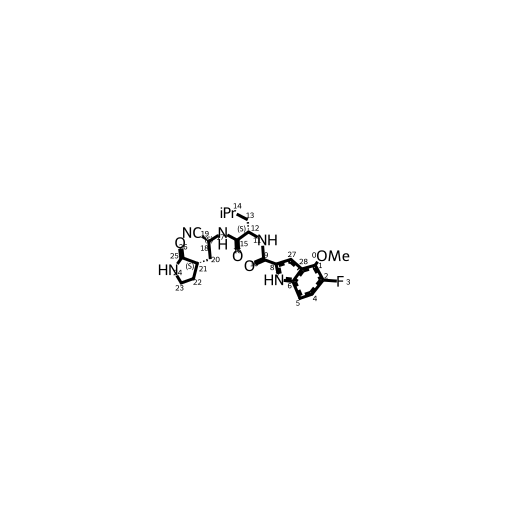 COc1c(F)ccc2[nH]c(C(=O)N[C@@H](CC(C)C)C(=O)N[C@H](C#N)C[C@@H]3CCNC3=O)cc12